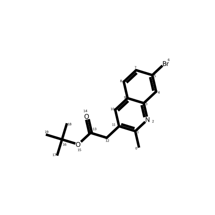 Cc1nc2cc(Br)ccc2cc1CC(=O)OC(C)(C)C